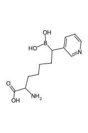 NC(CCCCC(B(O)O)c1cccnc1)C(=O)O